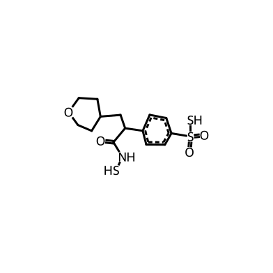 O=C(NS)C(CC1CCOCC1)c1ccc(S(=O)(=O)S)cc1